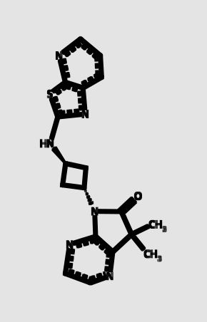 CC1(C)C(=O)N([C@H]2C[C@H](Nc3nc4cccnc4s3)C2)c2nccnc21